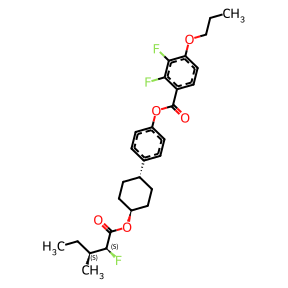 CCCOc1ccc(C(=O)Oc2ccc([C@H]3CC[C@H](OC(=O)[C@@H](F)[C@@H](C)CC)CC3)cc2)c(F)c1F